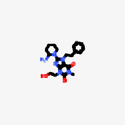 Cn1c(=O)c2c(nc(N3CCCCC3N)n2CCc2ccccc2)n(CCO)c1=O